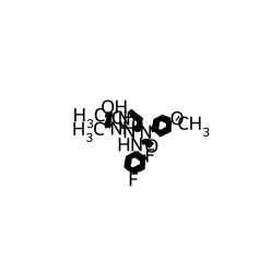 COc1ccc(N(C(=O)Nc2ccc(F)cc2F)c2ccnc(NC(C)C(C)(C)O)n2)cc1